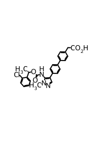 C[C@@H](OC(=O)Nc1c(-c2ccc(-c3ccc(CC(=O)O)cc3)cc2)cnn1C)c1ccccc1Cl